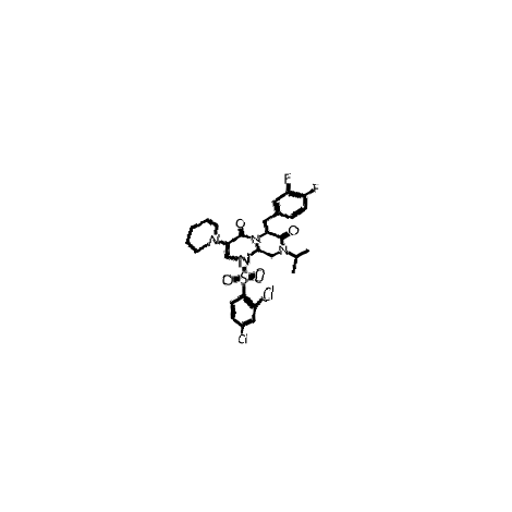 CC(C)N1CC2N(C(=O)C(N3CCCCC3)CN2S(=O)(=O)c2ccc(Cl)cc2Cl)C(Cc2ccc(F)c(F)c2)C1=O